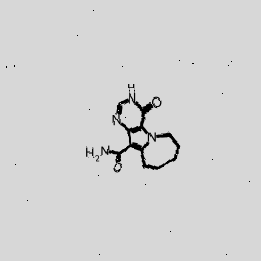 NC(=O)c1c2n(c3c(=O)[nH]cnc13)CCCCC2